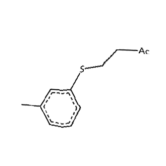 CC(=O)CCSc1cccc(C)c1